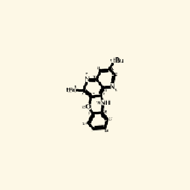 CC(C)(C)c1cnc2c3c(c(C(C)(C)C)nc2c1)Oc1ccccc1N3